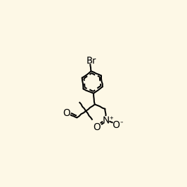 CC(C)(C=O)C(C[N+](=O)[O-])c1ccc(Br)cc1